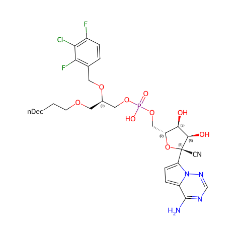 CCCCCCCCCCCCOC[C@H](COP(=O)(O)OC[C@H]1O[C@@](C#N)(c2ccc3c(N)ncnn23)[C@H](O)[C@@H]1O)OCc1ccc(F)c(Cl)c1F